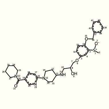 C[S+]([O-])c1cc(OCC(O)CNC2CCN(c3ccc(C(=O)N4CCCCC4)cn3)CC2)ccc1OCc1ccccc1